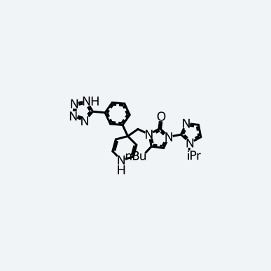 CCCCc1cn(-c2nccn2C(C)C)c(=O)n1CC1(c2cccc(-c3nnn[nH]3)c2)C=CNC=C1